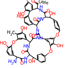 COC(=O)C1NC(=O)C2NC(=O)C(NC(=O)C3NC(=O)C4NC(=O)C(NC(=O)C(N)c5ccc(O)c(c5)Oc5cc4cc(O)c5C)C(O)c4ccc(cc4)Oc4cc3cc(c4O)Oc3ccc(cc3)C2O)c2ccc(O)c(c2)-c2c(O)cc(O)cc21